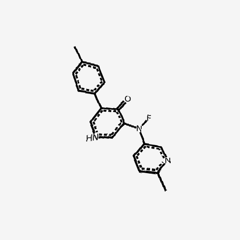 Cc1ccc(-c2c[nH]cc(N(F)c3ccc(C)nc3)c2=O)cc1